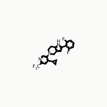 Fc1cccc(F)c1-c1cc2c([nH]1)CCN(c1cnc(C(F)(F)F)cc1C1CC1)C2